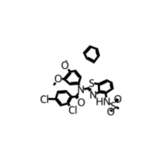 COc1ccc(N(C(=O)c2ccc(Cl)cc2Cl)c2nc3c(NS(C)(=O)=O)cccc3s2)cc1OC.c1ccccc1